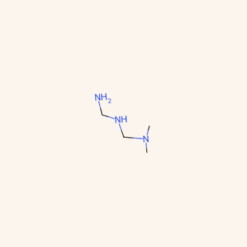 CN(C)CNCN